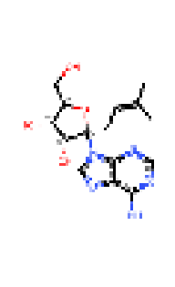 CC(C)=CC[C@@]1(n2cnc3c(N)ncnc32)O[C@H](CO)[C@@H](O)[C@H]1O